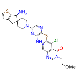 COCCn1cnc2ccc(Sc3ncc(N4CCC5(CC4)Cc4ccsc4[C@H]5N)nc3N)c(Cl)c2c1=O